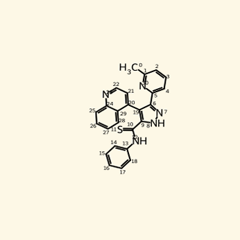 Cc1cccc(-c2n[nH]c(C(=S)Nc3ccccc3)c2-c2ccnc3ccccc23)n1